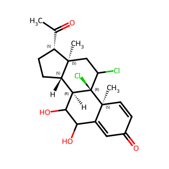 CC(=O)[C@H]1CC[C@H]2[C@@H]3C(O)C(O)C4=CC(=O)C=C[C@]4(C)[C@@]3(Cl)C(Cl)C[C@]12C